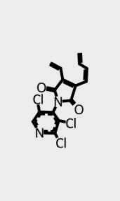 C=C/C=C\C1=C(C=C)C(=O)N(c2c(Cl)cnc(Cl)c2Cl)C1=O